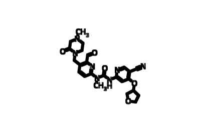 CN1CCN(Cc2ccc(N(C)C(=O)Nc3cc(OC4CCOC4)c(C#N)cn3)nc2C=O)C(=O)C1